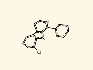 Clc1cccc2c1sc1c(-c3ccccc3)nccc12